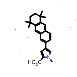 Cn1cc(-c2ccc3cc4c(cc3c2)C(C)(C)CCC4(C)C)cc1C(=O)O